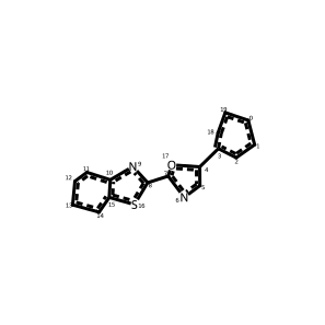 c1ccc(-c2cnc(-c3nc4ccccc4s3)o2)cc1